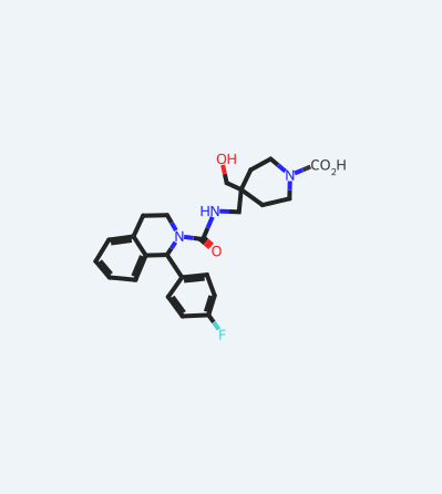 O=C(O)N1CCC(CO)(CNC(=O)N2CCc3ccccc3C2c2ccc(F)cc2)CC1